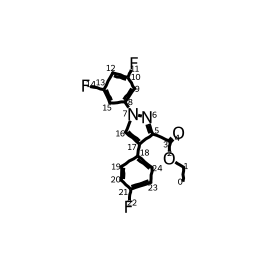 CCOC(=O)c1nn(-c2cc(F)cc(F)c2)cc1-c1ccc(F)cc1